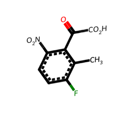 Cc1c(F)ccc([N+](=O)[O-])c1C(=O)C(=O)O